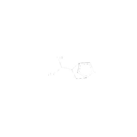 CC(C)C1Cc2cc1cs2